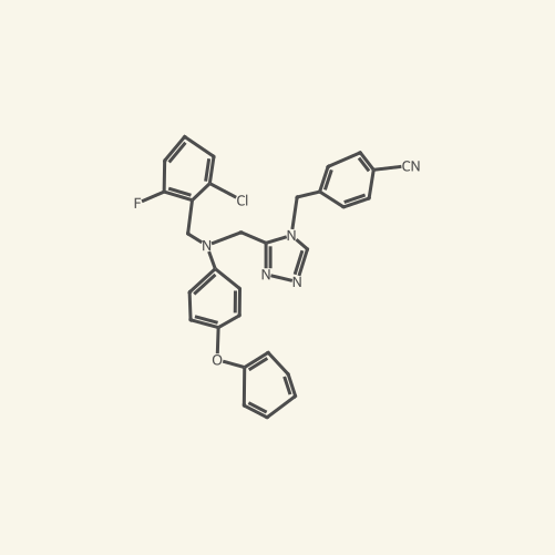 N#Cc1ccc(Cn2cnnc2CN(Cc2c(F)cccc2Cl)c2ccc(Oc3ccccc3)cc2)cc1